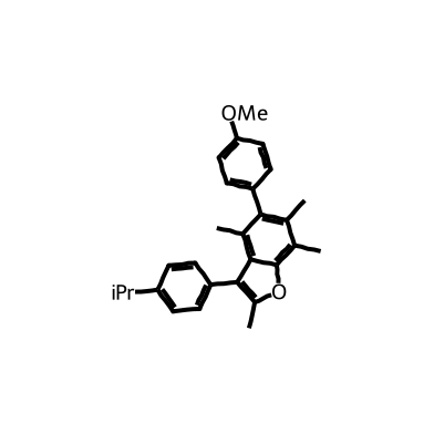 COc1ccc(-c2c(C)c(C)c3oc(C)c(-c4ccc(C(C)C)cc4)c3c2C)cc1